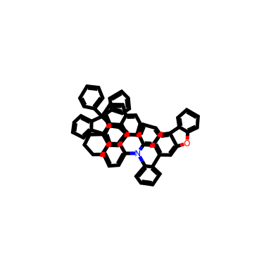 C1=c2cccc(C3CCCCC3)c2=C(c2ccccc2N(c2ccccc2-c2ccc3c(c2)C(c2ccccc2)(c2ccccc2)c2ccccc2-3)c2ccccc2-c2ccc3c(c2)oc2ccccc23)CC1